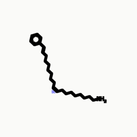 NCCCCCCCC/C=C\CCCCCCCC=Cc1ccccc1